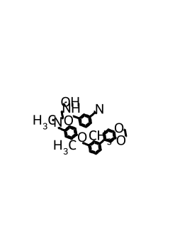 Cc1cc(CN(C)CCNO)c(OCc2cccc(C#N)c2)cc1OCc1cccc(-c2ccc3c(c2)OCCO3)c1C